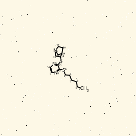 CCCCCCSc1nccnc1SC1CN2CCC1C2